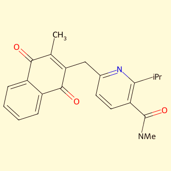 CNC(=O)c1ccc(CC2=C(C)C(=O)c3ccccc3C2=O)nc1C(C)C